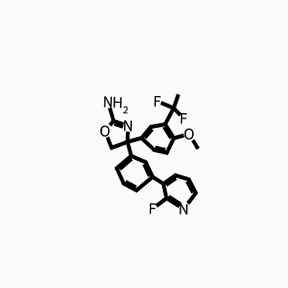 COc1ccc(C2(c3cccc(-c4cccnc4F)c3)COC(N)=N2)cc1C(C)(F)F